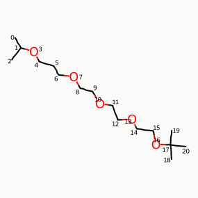 CC(C)OCCCOCCOCCOCCOC(C)(C)C